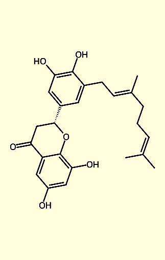 CC(C)=CCC/C(C)=C/Cc1cc([C@H]2CC(=O)c3cc(O)cc(O)c3O2)cc(O)c1O